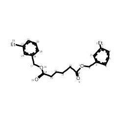 CCc1cccc(COC(=O)CCCCC(=O)OCc2cccc(CC)c2)c1